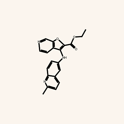 CCOC(=O)c1oc2cnccc2c1Nc1ccc2nc(C)ccc2c1